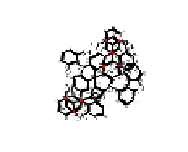 Cc1cccc(C)c1B1c2ccc(B(c3c(C)cccc3C)c3c(C)cccc3C)cc2C2(c3cc(B(c4c(C)cccc4C)c4c(C)cccc4C)ccc31)c1cc(-c3ccccc3)ccc1N(c1cccc3oc4ccccc4c13)c1ccc(-c3ccccc3)cc12